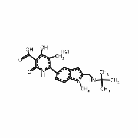 Cc1c(-c2ccc3c(c2)cc(CNC(C)(C)C)n3C)[nH]c(=O)c(C(=O)O)c1O.Cl